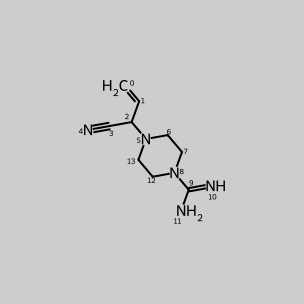 C=CC(C#N)N1CCN(C(=N)N)CC1